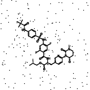 CC(C)COC(=O)[C@H](Cc1ccc(N2C(=O)CCN(C)C2=O)nc1)NC(=O)c1cc(F)c(NS(=O)(=O)c2ccc(NC(=O)C(C)(C)C)cc2)cc1F